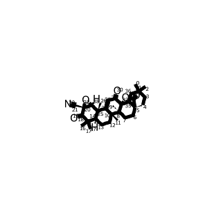 CC1(C)CC[C@@]23CC[C@@]4(C)[C@]5(C)CC[C@H]6C(C)(C)C(=O)[C@]7(C#N)O[C@@H]7[C@]6(C)C5=CC(=O)[C@]4(OC2=O)C3C1